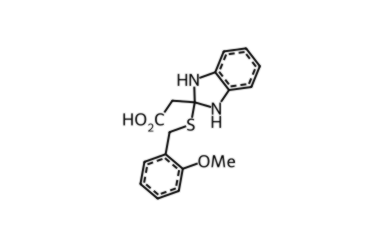 COc1ccccc1CSC1(CC(=O)O)Nc2ccccc2N1